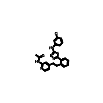 CC(=O)Nc1cc(CCc2ccccc2-c2nnc(Nc3cccc(Cl)c3)s2)ccn1